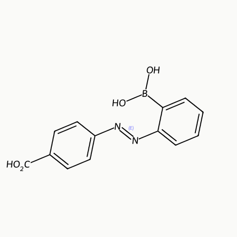 O=C(O)c1ccc(/N=N/c2ccccc2B(O)O)cc1